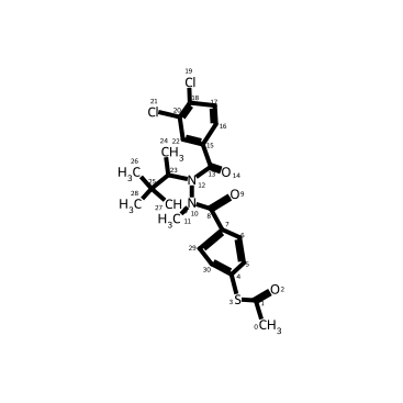 CC(=O)Sc1ccc(C(=O)N(C)N(C(=O)c2ccc(Cl)c(Cl)c2)C(C)C(C)(C)C)cc1